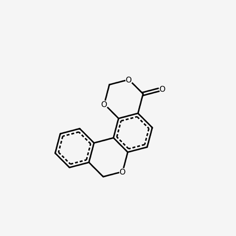 O=C1OCOc2c1ccc1c2-c2ccccc2CO1